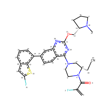 C=C(F)C(=O)N1CCN(c2nc(OC[C@@H]3CCCN3C)nc3cc(-c4cccc5cc(F)sc45)ccc23)C[C@@H]1CC#N